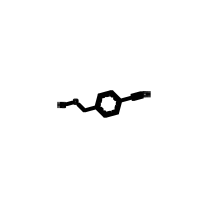 C#Cc1ccc(COS)cc1